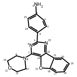 Nc1ccc(-c2nc(N3CCOCC3)c3oc4ccccc4c3n2)cc1